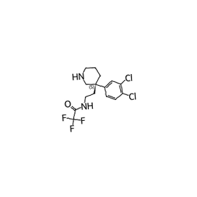 O=C(NCC[C@]1(c2ccc(Cl)c(Cl)c2)CCCNC1)C(F)(F)F